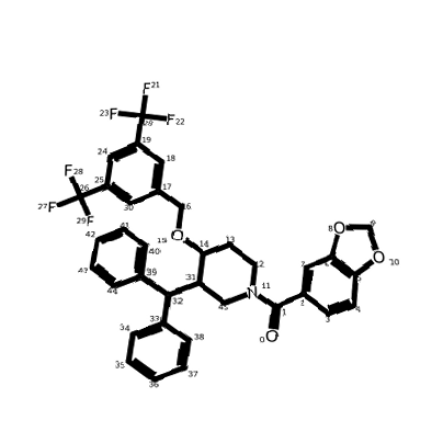 O=C(c1ccc2c(c1)OCO2)N1CCC(OCc2cc(C(F)(F)F)cc(C(F)(F)F)c2)C(C(c2ccccc2)c2ccccc2)C1